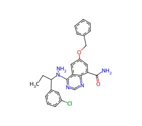 CCC(c1cccc(Cl)c1)N(N)c1ncnc2c(C(N)=O)cc(OCc3ccccc3)cc12